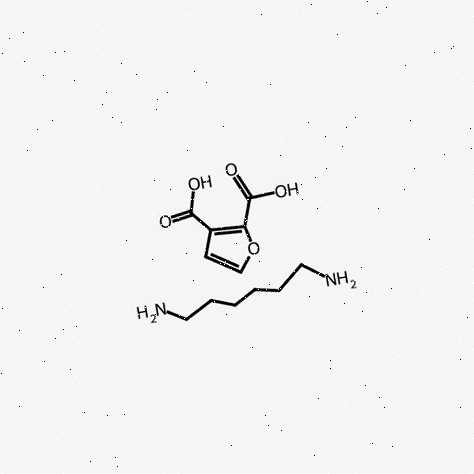 NCCCCCCN.O=C(O)c1ccoc1C(=O)O